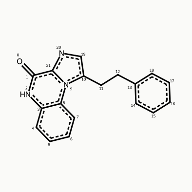 O=c1[nH]c2ccccc2n2c(CCc3ccccc3)cnc12